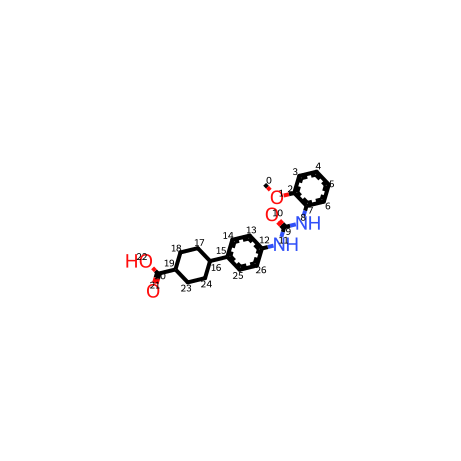 COc1ccccc1NC(=O)Nc1ccc(C2CCC(C(=O)O)CC2)cc1